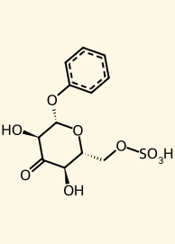 O=C1[C@@H](O)[C@H](Oc2ccccc2)O[C@H](COS(=O)(=O)O)[C@H]1O